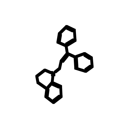 C(CN1CCCc2ccccc21)=C(c1ccccc1)c1ccccc1